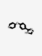 c1cc(Oc2ccc(-c3nnc[nH]3)cc2)ccn1